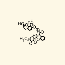 CCN1CCN(C(=O)N[C@@H](C(=O)N2CC(Oc3ccc4c(c3C(F)(F)F)OB(O)CC4)C2)c2ccccc2)C(=O)C1=O